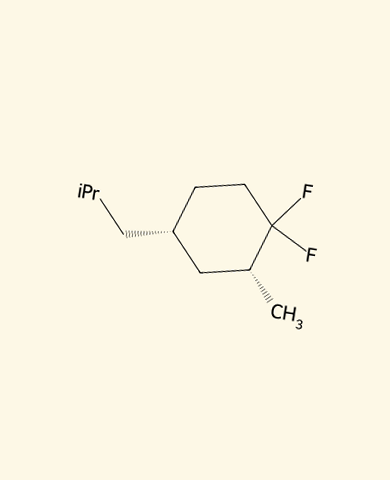 CC(C)C[C@@H]1CCC(F)(F)[C@H](C)C1